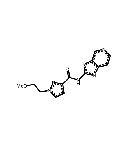 COCCn1ccc(C(=O)Nc2nc3ccncc3s2)n1